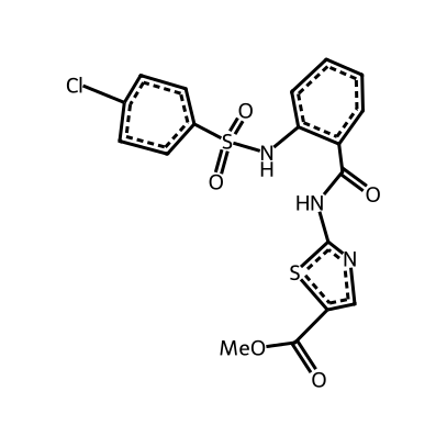 COC(=O)c1cnc(NC(=O)c2ccccc2NS(=O)(=O)c2ccc(Cl)cc2)s1